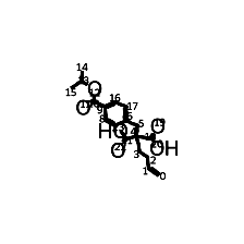 C=CCCC(Cc1ccc(C(=O)OC(C)C)cc1)(C(=O)O)C(=O)O